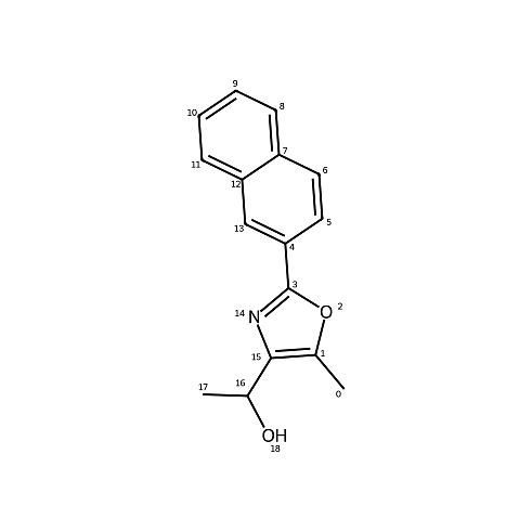 Cc1oc(-c2ccc3ccccc3c2)nc1C(C)O